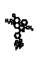 Cc1nc(-c2cccc(OS(=O)(=O)C(F)(F)F)c2)c2c(n1)[C@@]1(c3ccccc3)CCC(=O)[C@@H](C)[C@@H]1CC2